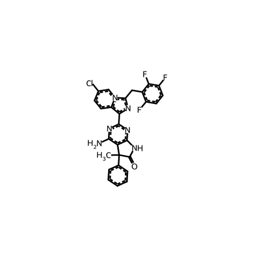 CC1(c2ccccc2)C(=O)Nc2nc(-c3nc(Cc4c(F)ccc(F)c4F)n4cc(Cl)ccc34)nc(N)c21